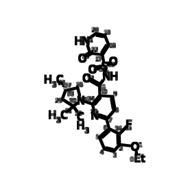 CCOc1cccc(-c2ccc(C(=O)NS(=O)(=O)c3ccc[nH]c3=O)c(N3C[C@@H](C)CC3(C)C)n2)c1F